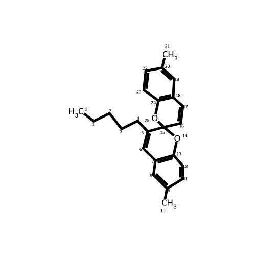 CCCCCC1=Cc2cc(C)ccc2OC12C=Cc1cc(C)ccc1O2